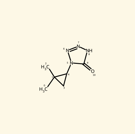 CC1(C)CC1n1nn[nH]c1=O